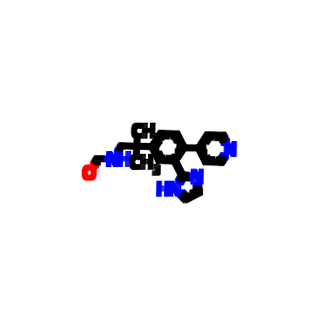 CC(C)(CNC=O)c1ccc(-c2ccncc2)c(-c2ncc[nH]2)c1